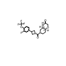 O=C1CO[C@H]2CCN(C(=O)N3CC(c4ccc(OC(F)(F)F)c(F)c4)C3)C[C@H]2N1